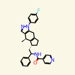 C[C@@H]1C2=C(CC[C@@H]2CC(NC(=O)c2ccncc2)c2ccccc2)Cc2c1cnn2-c1ccc(F)cc1